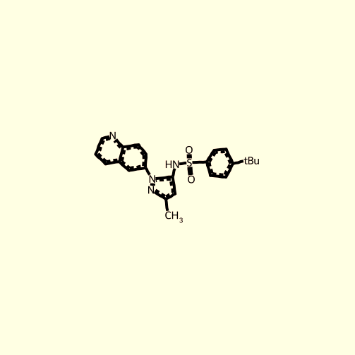 Cc1cc(NS(=O)(=O)c2ccc(C(C)(C)C)cc2)n(-c2ccc3ncccc3c2)n1